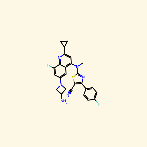 CN(c1nc(-c2ccc(F)cc2)c(C#N)s1)c1cc(C2CC2)nc2c(F)cc(N3CC(N)C3)cc12